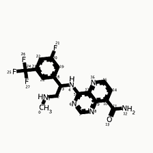 CNCC(Nc1ncnc2c(C(N)=O)ccnc12)c1cc(F)cc(C(F)(F)F)c1